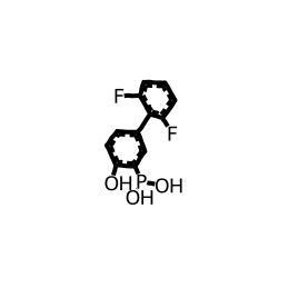 Oc1ccc(-c2c(F)cccc2F)cc1P(O)O